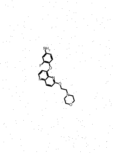 Nc1ccc(Oc2ccnc3ccc(OCCN4CCOCC4)nc23)c(F)c1